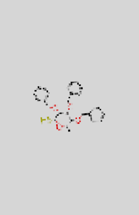 C[C@H]1O[C@@H](S)[C@H](OCc2ccccc2)[C@@H](OCc2ccccc2)[C@@H]1OCc1ccccc1